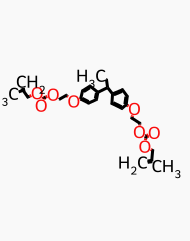 C=C(C)COC(=O)OCCOc1ccc(C(CC)c2ccc(OCCOC(=O)OCC(=C)C)cc2)cc1